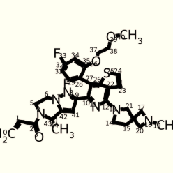 C=CC(=O)N1CCn2nc(-c3nc(N4CCC5(CN(C)C5)C4)c4ccsc4c3-c3c(F)cc(F)cc3OCCOC)cc2[C@H]1C